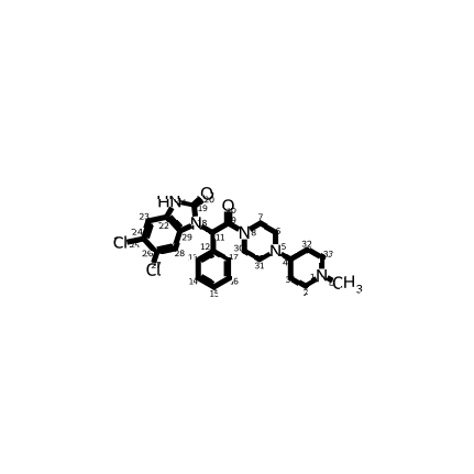 CN1CCC(N2CCN(C(=O)C(c3ccccc3)n3c(=O)[nH]c4cc(Cl)c(Cl)cc43)CC2)CC1